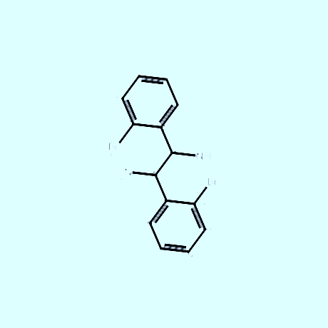 NC(c1ccccc1Br)C(N)c1ccccc1Br